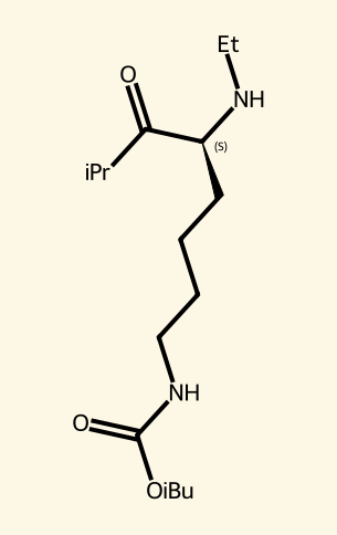 CCN[C@@H](CCCCNC(=O)OCC(C)C)C(=O)C(C)C